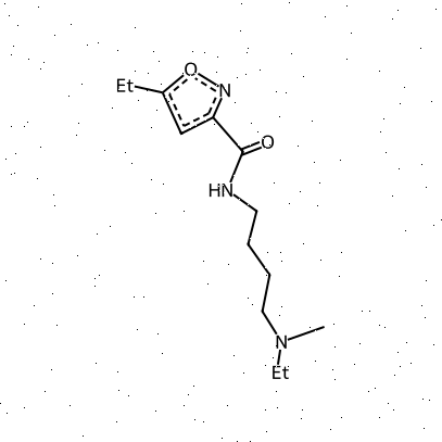 CCc1cc(C(=O)NCCCCN(C)CC)no1